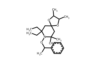 CCC1(CC)CC2(CC(C)(C)N1OC(C)c1ccccc1)OC(C)C(C)O2